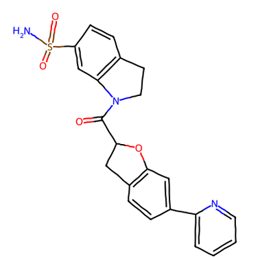 NS(=O)(=O)c1ccc2c(c1)N(C(=O)C1Cc3ccc(-c4ccccn4)cc3O1)CC2